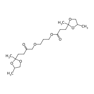 CC1COC(C)(CCC(=O)COCCCOC(=O)CCC2(C)OCC(C)O2)O1